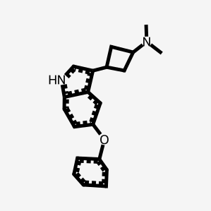 CN(C)C1CC(c2c[nH]c3ccc(Oc4ccccc4)cc23)C1